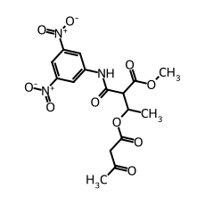 COC(=O)C(C(=O)Nc1cc([N+](=O)[O-])cc([N+](=O)[O-])c1)C(C)OC(=O)CC(C)=O